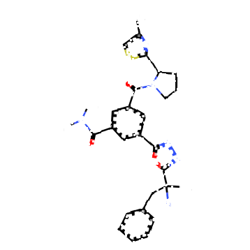 Cc1csc(C2CCCN2C(=O)c2cc(C(=O)N(C)C)cc(-c3nnc(C(C)(N)Cc4ccccc4)o3)c2)n1